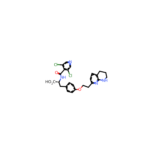 O=C(N[C@@H](Cc1ccc(OCCc2ccc3c(n2)NCCC3)cc1)C(=O)O)c1c(Cl)cncc1Cl